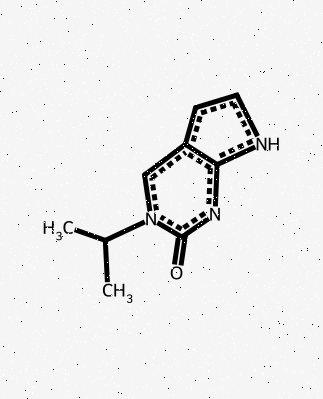 CC(C)n1cc2cc[nH]c2nc1=O